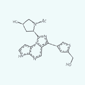 CC(=O)N1C[C@H](O)C[C@@H]1c1nc(-c2csc(CO)c2)c2cnc3[nH]ccc3n12